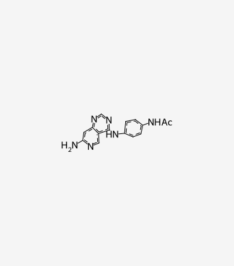 CC(=O)Nc1ccc(Nc2ncnc3cc(N)ncc23)cc1